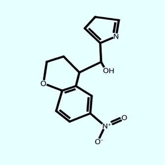 O=[N+]([O-])c1ccc2c(c1)C(C(O)C1=CCC=N1)CCO2